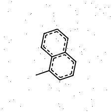 Cc1[c]ccc2ccccc12